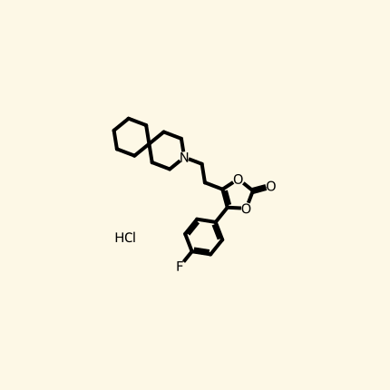 Cl.O=c1oc(CCN2CCC3(CCCCC3)CC2)c(-c2ccc(F)cc2)o1